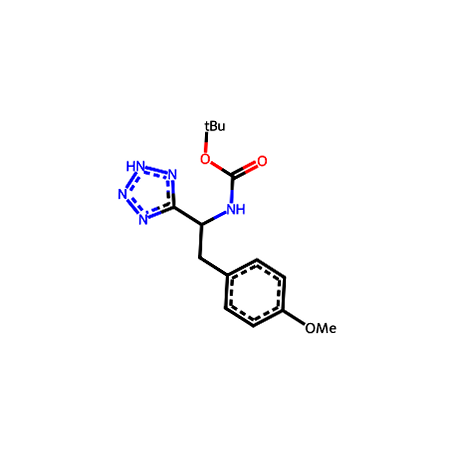 COc1ccc(CC(NC(=O)OC(C)(C)C)c2nn[nH]n2)cc1